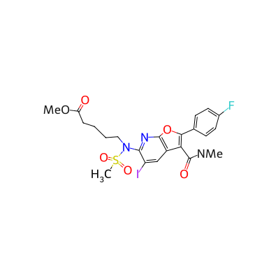 CNC(=O)c1c(-c2ccc(F)cc2)oc2nc(N(CCCCC(=O)OC)S(C)(=O)=O)c(I)cc12